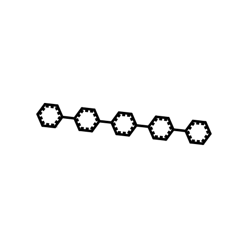 [c]1ccccc1-c1ccc(-c2ccc(-c3ccc(-c4ccccc4)cc3)cc2)cc1